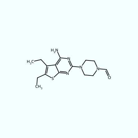 CCc1sc2nc(N3CCN(C=O)CC3)nc(N)c2c1CC